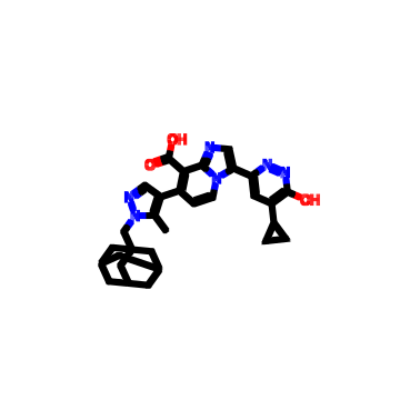 Cc1c(-c2ccn3c(-c4cc(C5CC5)c(O)nn4)cnc3c2C(=O)O)cnn1CC12CC3CC(CC(C3)C1)C2